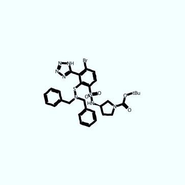 CC(C)(C)OC(=O)N1CC[C@@H](NS(=O)(=O)c2ccc(Br)c(-c3nnn[nH]3)c2SN(Cc2ccccc2)Cc2ccccc2)C1